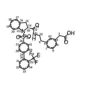 O=C(O)Cc1cccc(CCNC(=O)[C@@H]2Cc3ccccc3N2S(=O)(=O)c2ccc(-c3ccccc3C(F)(F)F)cc2)c1